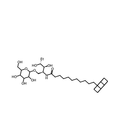 CC[C@@H](O)[C@@H](O)[C@H](COC1OC(CO)C(O)C(O)C1O)NC(=O)CCCCCCCCCCC12C3C4C5C3C1C5C42